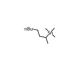 CCC[CH]CC[CH](C)[Sn]([CH3])([CH3])[CH3]